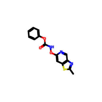 Cc1nc2cnc(ONC(=O)Oc3ccccc3)cc2s1